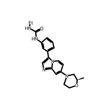 CCNC(=O)Nc1cccc(-c2cnc3cc(N4CCO[C@H](C)C4)ccn23)c1